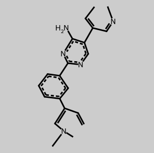 C=C/C(=C\N(C)C)c1cccc(-c2ncc(C(/C=N\C)=C/C)c(N)n2)c1